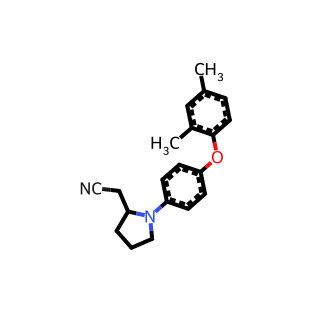 Cc1ccc(Oc2ccc(N3CCCC3CC#N)cc2)c(C)c1